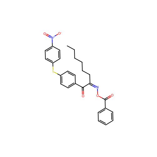 CCCCCC/C(=N/OC(=O)c1ccccc1)C(=O)c1ccc(Sc2ccc([N+](=O)[O-])cc2)cc1